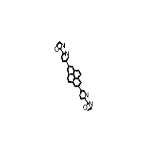 c1coc(-c2ccc(-c3cc4ccc5cc(-c6ccc(-c7ncco7)nc6)cc6ccc(c3)c4c56)cn2)n1